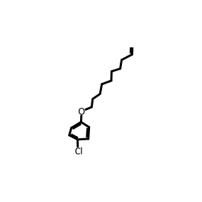 C=CCCCCCCCCOc1ccc(Cl)cc1